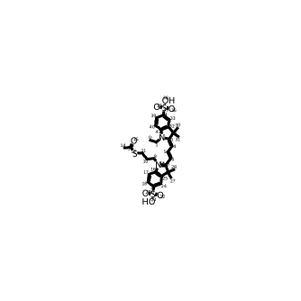 CCN1/C(=C\C=C\C2=[N+](CCCSC(C)=O)c3ccc(S(=O)(=O)O)cc3C2(C)C)C(C)(C)c2cc(S(=O)(=O)O)ccc21